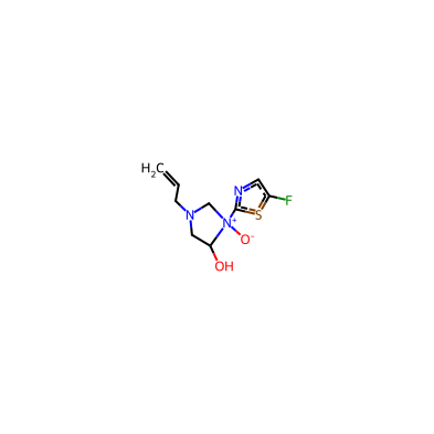 C=CCN1CC(O)[N+]([O-])(c2ncc(F)s2)C1